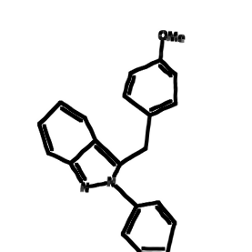 COc1ccc(Cc2c3ccccc3nn2-c2ccccc2)cc1